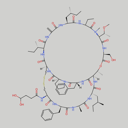 C=C1NC(=O)[C@H]([C@@H](C)CC)NC(=O)[C@@H]2CSSC[C@H](NC(=O)CCC(O)O)C(=O)N[C@H](Cc3ccccc3)C(=O)N[C@H](C)C(=O)N[C@@H](C[C@@H](C)CC)C(=O)N[C@@H](C(=O)N[C@H](Cc3ccccc3)C(=O)N3CCC[C@H]3C(=O)N2)[C@@H](C)OC(=O)[C@H](CO)NC(=O)[C@H]([C@@H](C)OC)N(C)C(=O)C(CC)NC(=O)[C@H](C[C@H](C)CC)NC1=O